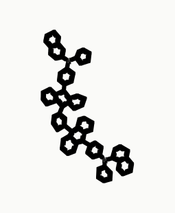 c1ccc(N(c2ccc(-c3c4ccccc4c(-c4cccc(-c5c6ccccc6c(-c6ccc(N(c7ccccc7)c7cccc8ccccc78)cc6)c6ccccc56)c4)c4ccccc34)cc2)c2ccc3ccccc3c2)cc1